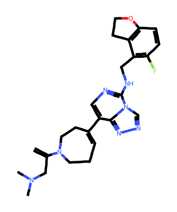 C=C(CN(C)C)N1CCC=C(c2cnc(NCc3c(F)ccc4c3CCO4)n3cnnc23)CC1